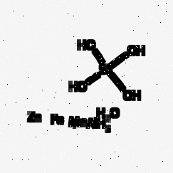 O.O[Si](O)(O)O.[AlH3].[Fe].[Mn].[Zn]